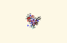 CC(C)C[C@H](NC(=O)[C@H](CC(C)C)N(C)C(=O)[C@@H](N)CC(F)(F)F)C(=O)N(C)[C@@H](Cc1cn(Cc2ccc(Br)cc2)c2ccccc12)C(=O)N[C@@H](CCC(F)(F)F)C(=O)N(C)[C@@H](C)C(=O)O[C@H](CCC#N)C(=O)O